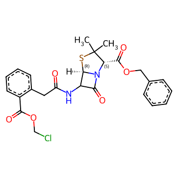 CC1(C)S[C@@H]2C(NC(=O)Cc3ccccc3C(=O)OCCl)C(=O)N2[C@H]1C(=O)OCc1ccccc1